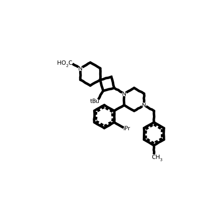 Cc1ccc(CN2CCN(C3CC4(CCN(C(=O)O)CC4)C3C(C)(C)C)C(c3ccccc3C(C)C)C2)cc1